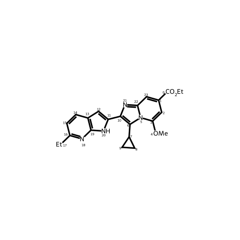 CCOC(=O)c1cc(OC)n2c(C3CC3)c(-c3cc4ccc(CC)nc4[nH]3)nc2c1